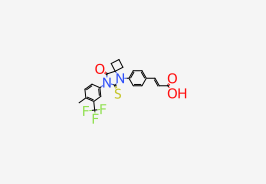 Cc1ccc(N2C(=O)C3(CCC3)N(c3ccc(/C=C/C(=O)O)cc3)C2=S)cc1C(F)(F)F